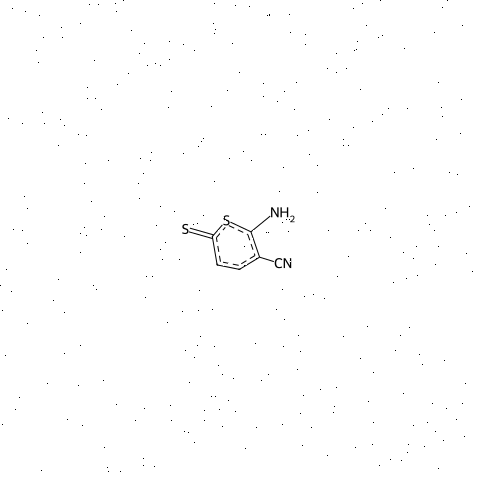 N#Cc1ccc(=S)sc1N